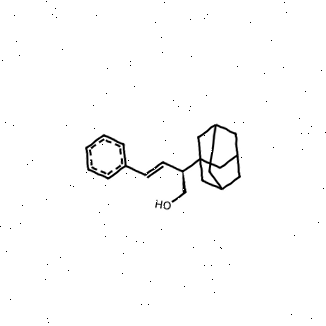 OC[C@@H](/C=C/c1ccccc1)C12CC3CC(CC(C3)C1)C2